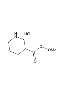 COOC(=O)C1CCCNC1.Cl